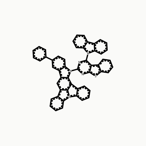 c1ccc(-c2ccc3c(c2)c2cc4c5ccccc5n5c6ccccc6c(c2n3-c2nc(-n3c6ccccc6c6ccccc63)c3c(n2)sc2ccccc23)c45)cc1